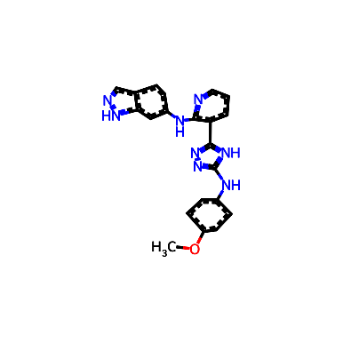 COc1ccc(Nc2nnc(-c3cccnc3Nc3ccc4cn[nH]c4c3)[nH]2)cc1